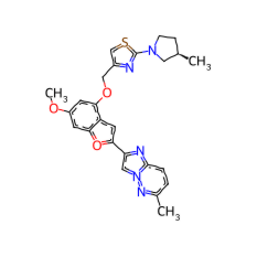 COc1cc(OCc2csc(N3CC[C@@H](C)C3)n2)c2cc(-c3cn4nc(C)ccc4n3)oc2c1